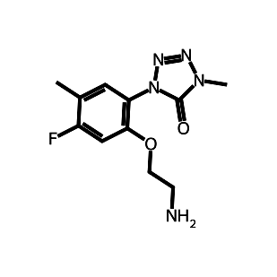 Cc1cc(-n2nnn(C)c2=O)c(OCCN)cc1F